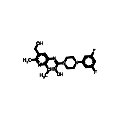 COc1nc(C)c(CO)cc1N=C(NO)N1CCN(c2cc(F)cc(F)c2)CC1